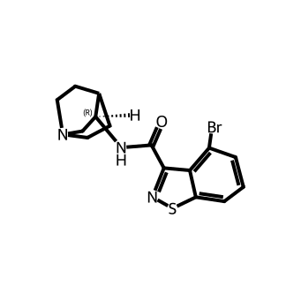 O=C(N[C@H]1CN2CCC1CC2)c1nsc2cccc(Br)c12